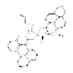 C=CCOC(=O)C(Cc1ccc2ccc3cccc4ccc1c2c34)(Cc1ccc2cccc3c4cccc5cccc(c1c23)c54)C(=O)OCC=C